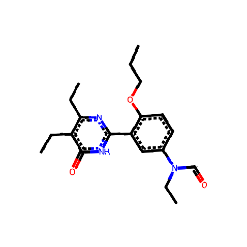 CCCOc1ccc(N([C]=O)CC)cc1-c1nc(CC)c(CC)c(=O)[nH]1